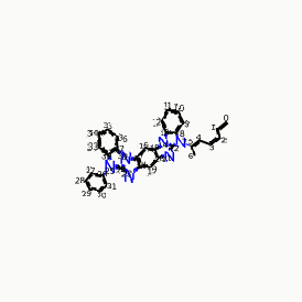 C=C/C=C\C=C(/C)n1c2ccccc2n2c3cc4c(cc3nc12)nc1n(-c2ccccc2)c2ccccc2n41